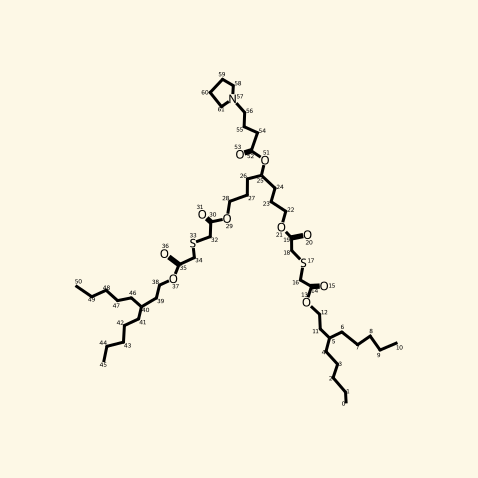 CCCCCC(CCCCC)CCOC(=O)CSCC(=O)OCCCC(CCCOC(=O)CSCC(=O)OCCC(CCCCC)CCCCC)OC(=O)CCCN1CCCC1